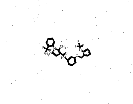 Cc1cc(C(=O)Nc2cccc(OCc3ccccc3OC(F)(F)F)c2)c(C)n1-c1ccccc1C(F)(F)F